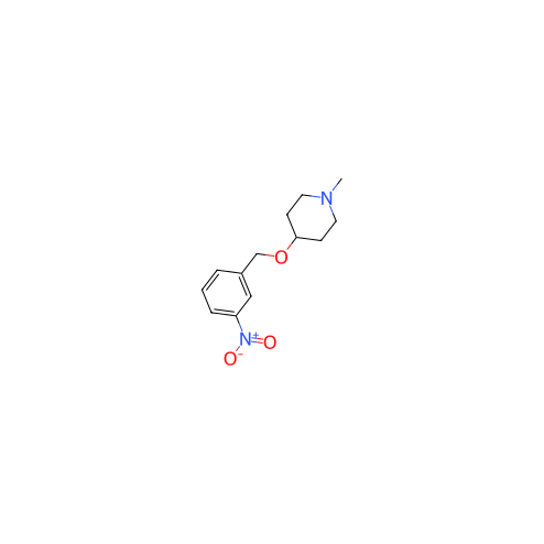 CN1CCC(OCc2cccc([N+](=O)[O-])c2)CC1